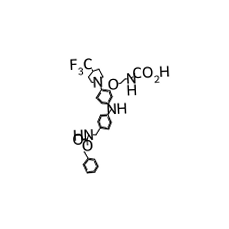 O=C(O)NCCOc1cc(Nc2ccc(CNC(=O)OCc3ccccc3)cc2)ccc1N1CCC(C(F)(F)F)CC1